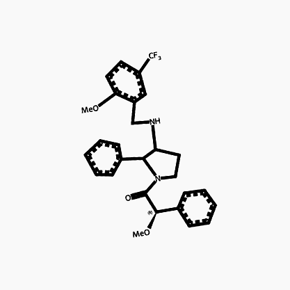 COc1ccc(C(F)(F)F)cc1CNC1CCN(C(=O)[C@H](OC)c2ccccc2)C1c1ccccc1